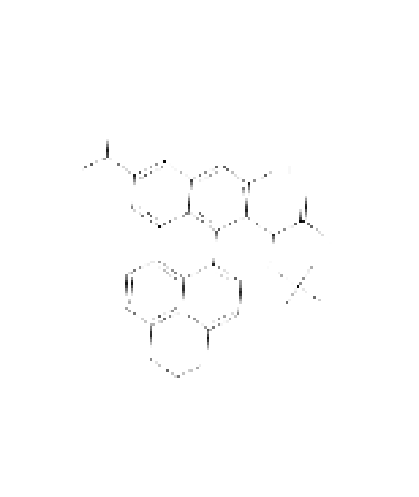 Cc1cc2cc(C(F)F)ccc2c(-c2ccc3c4c(ccnc24)CCO3)c1C(OC(C)(C)C)C(=O)O